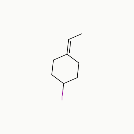 CC=C1CCC(I)CC1